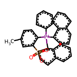 Cc1ccc([P+](c2ccccc2)(c2cccc3ccccc23)c2cccc3ccccc23)c(S(=O)(=O)[O-])c1